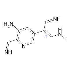 CN/C=C(\C=N)c1cnc(C=N)c(N)c1